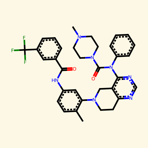 Cc1ccc(NC(=O)c2cccc(C(F)(F)F)c2)cc1N1CCc2ncnc(N(C(=O)N3CCN(C)CC3)c3ccccc3)c2C1